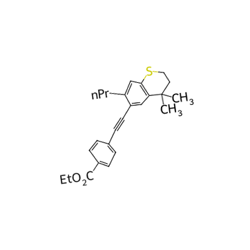 CCCc1cc2c(cc1C#Cc1ccc(C(=O)OCC)cc1)C(C)(C)CCS2